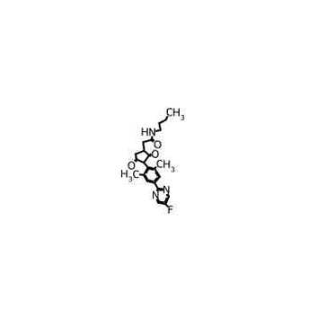 CCCCNC(=O)CC1CC(=O)C(c2c(C)cc(-c3ncc(F)cn3)cc2C)C1=O